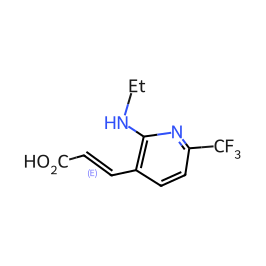 CCNc1nc(C(F)(F)F)ccc1/C=C/C(=O)O